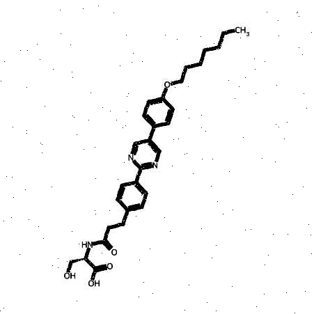 CCCCCCCOc1ccc(-c2cnc(-c3ccc(CCC(=O)N[C@H](CO)C(=O)O)cc3)nc2)cc1